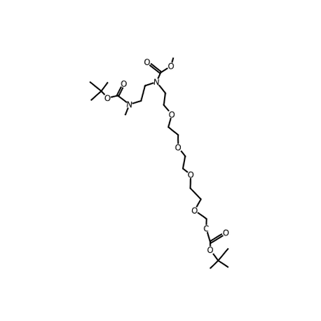 COC(=O)N(CCOCCOCCOCCOCCC(=O)OC(C)(C)C)CCN(C)C(=O)OC(C)(C)C